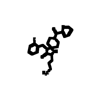 CSCCC1NC2(CCN(C(=O)c3ccccn3)CC2)N(Cc2ccccc2F)C1=O